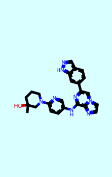 CC1(O)CCCN(c2ccc(Nc3nc(-c4ccc5cn[nH]c5c4)cn4ccnc34)cn2)C1